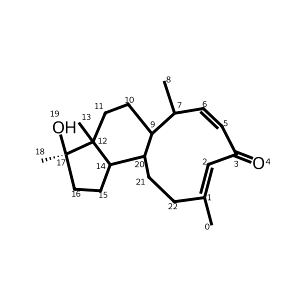 C/C1=C\C(=O)/C=C\C(C)C2CCC3(C)C(CC[C@@]3(C)O)C2CC1